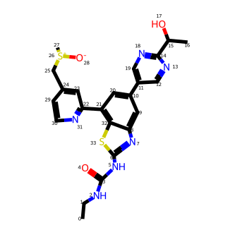 CCNC(=O)Nc1nc2cc(-c3cnc(C(C)O)nc3)cc(-c3cc(C[S+](C)[O-])ccn3)c2s1